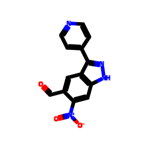 O=Cc1cc2c(-c3ccncc3)n[nH]c2cc1[N+](=O)[O-]